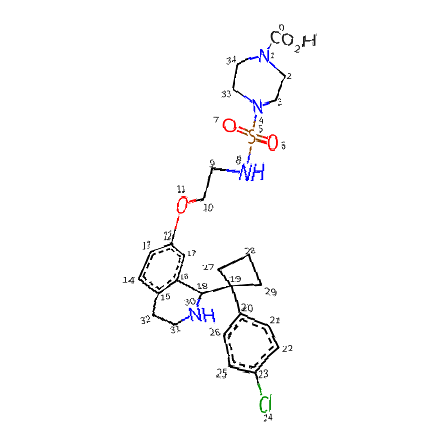 O=C(O)N1CCN(S(=O)(=O)NCCOc2ccc3c(c2)C(C2(c4ccc(Cl)cc4)CCC2)NCC3)CC1